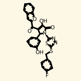 O=C(C1=C(O)C(=O)N(c2nnc(SCc3ccc(F)cc3)s2)C1c1cccc(O)c1)c1cc2ccccc2o1